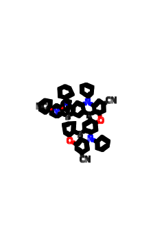 N#Cc1cc2c3c(c1)N(c1ccccc1)c1cc4c(cc1B3c1ccccc1O2)B1c2cc3c(cc2N(c2ccccc2)c2cc(C#N)cc(c21)O4)N(c1ccccc1)c1cc(C#N)cc2c1B3c1ccccc1N2c1ccccc1